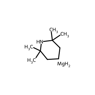 CC1(C)CCCC(C)(C)N1.[MgH2]